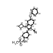 CS(=O)(=O)Nc1ccc(-c2c(C#N)c3ccc(Oc4ncccn4)cc3n2C2CCC2)cc1